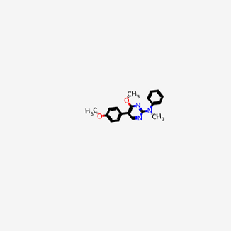 COc1ccc(-c2cnc(N(C)c3ccccc3)nc2OC)cc1